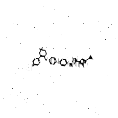 CC1(C)CCC(CN2CCN(c3ccc(S(=O)(=O)NC(=O)c4cc(C5CC5)on4)cc3)CC2)=C(c2ccc(Cl)cc2)C1